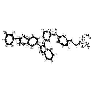 CN(C)CCc1cccc(Nc2nccc(-c3c(-c4ccc5nc(-c6ccccc6)[nH]c5c4)nc4ccccn34)n2)c1